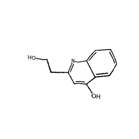 OCCc1cc(O)c2ccccc2n1